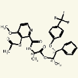 COc1ccnc(C(=O)N[C@@H](C)C(=O)O[C@@H](C)[C@H](Oc2ccc(C(F)(F)F)cc2)c2ccccc2)c1OC(C)=O